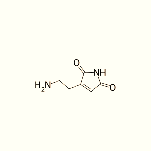 NCCC1=CC(=O)NC1=O